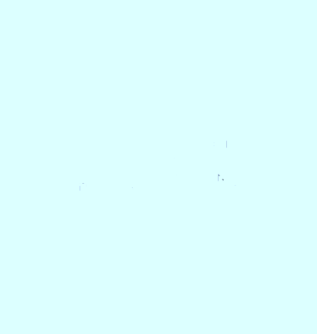 CC(=Cc1ccc(SCCC(C)C)cc1)CN